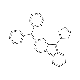 [c]1c2c(ccc1=C(c1ccccc1)c1ccccc1)=c1ccccc1=C2C1=CC=CC1